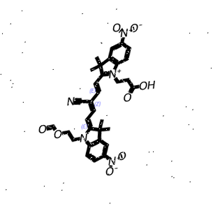 CC1(C)C(/C=C/C(C#N)=C/C=C2/N(CCOC=O)c3ccc([N+](=O)[O-])cc3C2(C)C)=[N+](CCC(=O)O)c2ccc([N+](=O)[O-])cc21